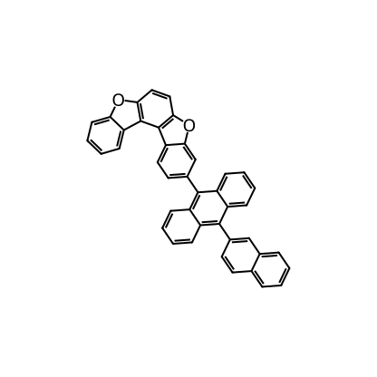 c1ccc2cc(-c3c4ccccc4c(-c4ccc5c(c4)oc4ccc6oc7ccccc7c6c45)c4ccccc34)ccc2c1